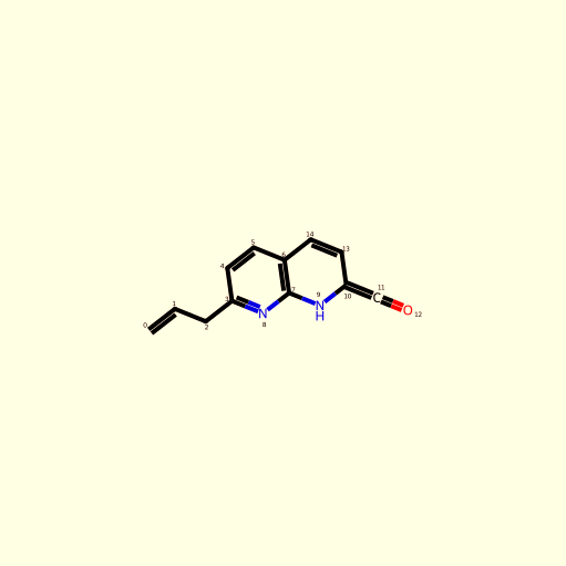 C=CCc1ccc2c(n1)NC(=C=O)C=C2